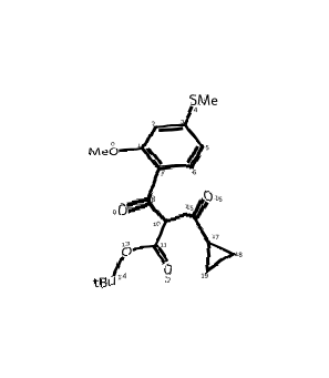 COc1cc(SC)ccc1C(=O)C(C(=O)OC(C)(C)C)C(=O)C1CC1